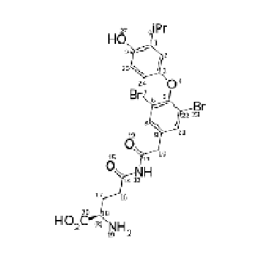 CC(C)c1cc(Oc2c(Br)cc(CC(=O)NC(=O)CC[C@@H](N)C(=O)O)cc2Br)ccc1O